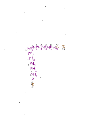 P.P.P.P.P.P.P.P.P.P.P.[P].[S].[S].[S]